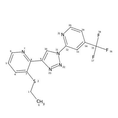 CCSc1cccnc1-c1cn(-c2cc(C(F)(F)F)ccn2)nn1